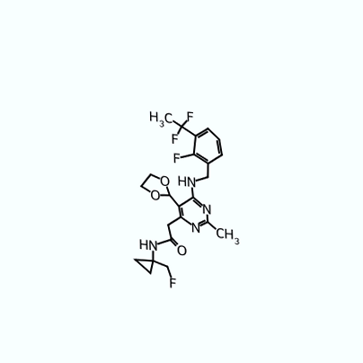 Cc1nc(CC(=O)NC2(CF)CC2)c(C2OCCO2)c(NCc2cccc(C(C)(F)F)c2F)n1